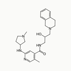 Cc1cnc(NC2CCN(C)C2)cc1C(=O)NCC(O)CN1CCc2ccccc2C1